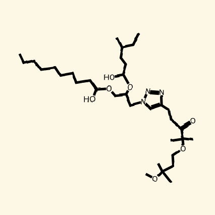 CCCCCCCCCC(O)OCC(Cn1cc(CCC(=O)C(C)(C)OCCC(C)(C)OC)nn1)OC(O)CCC(C)CC